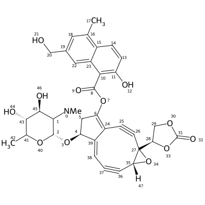 CNC1[C@H](O[C@H]2CC(OC(=O)c3c(O)ccc4c(C)cc(CO)cc34)=C3C#CC4([C@H]5COC(=O)O5)O[C@@H]4C#C/C=C\32)OC(C)[C@H](O)[C@H]1O